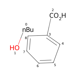 CCCCO.O=C(O)c1ccccc1